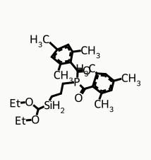 CCOC(OCC)[SiH2]CCCP(C(=O)c1c(C)cc(C)cc1C)C(=O)c1c(C)cc(C)cc1C